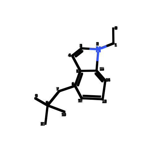 CCn1ccc2c(CC(C)(C)C)cccc21